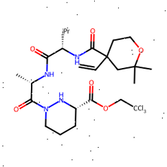 C=CC1(C(=O)N[C@H](C(=O)N[C@@H](C)C(=O)N2CCC[C@@H](C(=O)OCC(Cl)(Cl)Cl)N2)C(C)C)CCOC(C)(C)C1